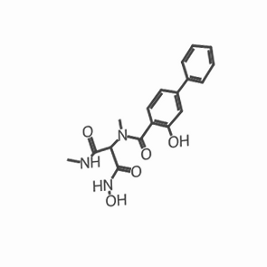 CNC(=O)C(C(=O)NO)N(C)C(=O)c1ccc(-c2ccccc2)cc1O